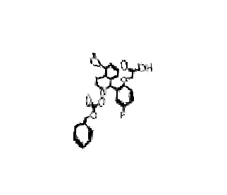 COc1cccc2c1CCN(OC(=O)OCc1ccccc1)C2c1cc(F)ccc1OCC(=O)O